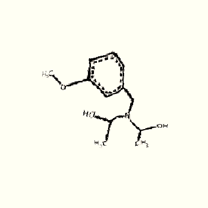 COc1cccc(CN(C(C)O)C(C)O)c1